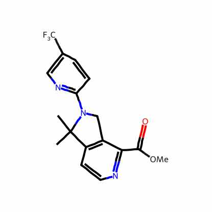 COC(=O)c1nccc2c1CN(c1ccc(C(F)(F)F)cn1)C2(C)C